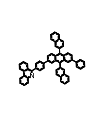 c1ccc(-c2ccc3c(-c4ccc5ccccc5c4)c4ccc(-c5ccc(-c6nc7ccccc7c7ccccc67)cc5)cc4c(-c4ccc5ccccc5c4)c3c2)cc1